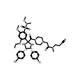 CCOc1cc(OC)c(S(=O)(=O)N(C)OC)cc1C1(C(=O)N2CCN(CC(=O)N(C)CCC#N)CC2)N[C@H](c2ccc(Cl)cc2)[C@H](c2ccc(Cl)cc2)N1